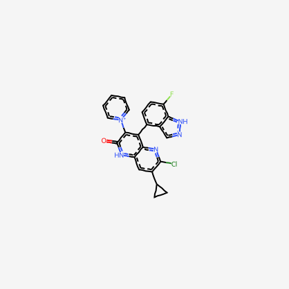 O=c1[nH]c2cc(C3CC3)c(Cl)nc2c(-c2ccc(F)c3[nH]ncc23)c1-[n+]1ccccc1